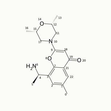 Cc1cc([C@@H](C)N)c2oc(N3C[C@@H](C)O[C@@H](C)C3)cc(=O)c2c1